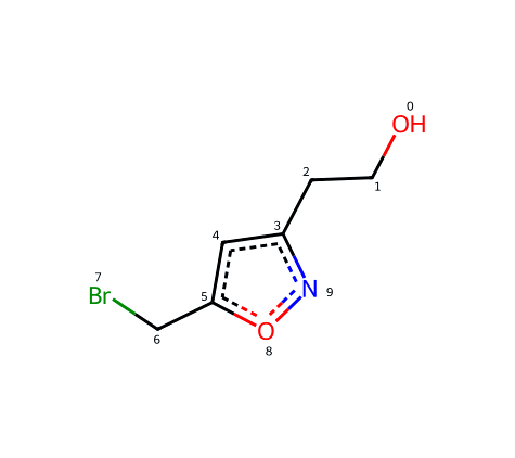 OCCc1cc(CBr)on1